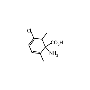 CC1=CC=C(Cl)C(C)C1(N)C(=O)O